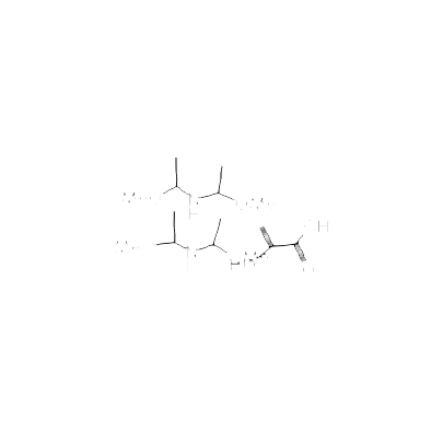 COC(C)NC(C)OC.COC(C)NC(C)OC.O=C(O)C(=O)O